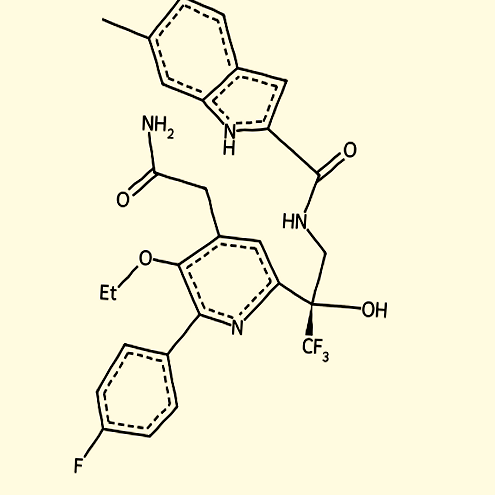 CCOc1c(CC(N)=O)cc([C@@](O)(CNC(=O)c2cc3ccc(C)cc3[nH]2)C(F)(F)F)nc1-c1ccc(F)cc1